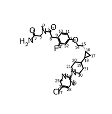 CN(CC(N)=O)C(=O)Cc1ccc(OCC[C@@H]2CC2C2CCN(c3ncc(Cl)cn3)CC2)cc1F